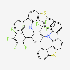 Fc1c(F)c(F)c(-c2ccc(-n3c4ccccc4c4ccc5sc6ccccc6c5c43)c(C(F)(F)F)c2-n2c3ccccc3c3ccc4sc5ccccc5c4c32)c(F)c1F